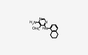 Nc1ncnc(Nc2cccc3c2CCCC3)c1C=O